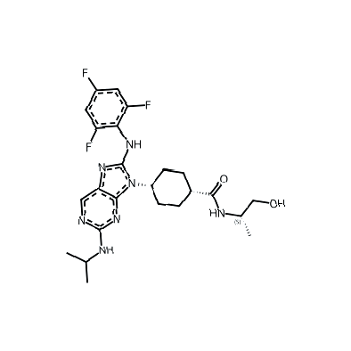 CC(C)Nc1ncc2nc(Nc3c(F)cc(F)cc3F)n([C@H]3CC[C@@H](C(=O)N[C@@H](C)CO)CC3)c2n1